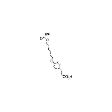 CCC(C)C(=O)OCCCCCCOc1ccc(/C=C/C(=O)O)cc1